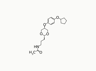 CC(=O)NCCC[C@H]1OC[C@@H](Oc2ccc(OC3CCCC3)cc2)CO1